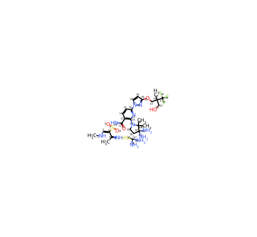 CN/C=C(\C(C)=N)S(=O)(=O)NC(=O)c1ccc(-n2ccc(OCC(C)(CO)C(F)(F)F)n2)nc1N1C[C@@H](C(N)(N)S)C(N)(N)C1(C)C